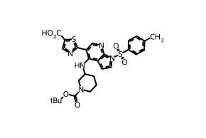 Cc1ccc(S(=O)(=O)n2ccc3c(NC4CCCN(C(=O)OC(C)(C)C)C4)c(-c4ncc(C(=O)O)s4)cnc32)cc1